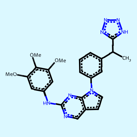 COc1cc(Nc2ncc3ccn(-c4cccc(C(C)c5nnn[nH]5)c4)c3n2)cc(OC)c1OC